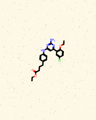 CCOC(=O)CCCc1ccc(Nc2cc(-c3cc(Cl)ccc3OCC)nc(N)n2)cc1